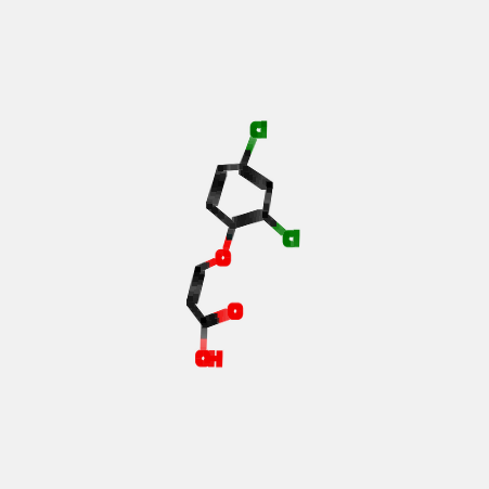 O=C(O)/C=C\Oc1ccc(Cl)cc1Cl